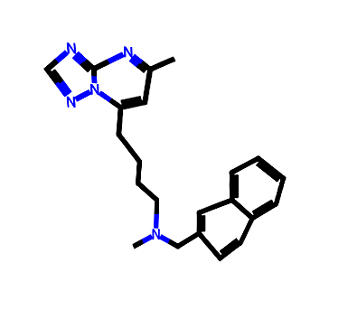 Cc1cc(CCCCN(C)Cc2ccc3ccccc3c2)n2ncnc2n1